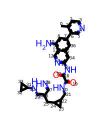 Cc1ccncc1-c1cc(N)c2cnc(NC(=O)C(=O)NCC3CC3C/C(C=N)=C/NC3CC3)cc2c1